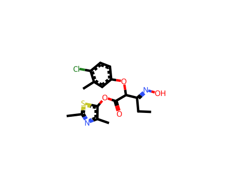 CCC(=NO)C(Oc1ccc(Cl)c(C)c1)C(=O)Oc1sc(C)nc1C